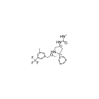 CNC(=O)N[C@H]1CC[C@@](COCc2cc(C)cc(C(F)(F)F)c2)(c2ccccc2)NC1